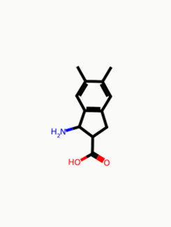 Cc1cc2c(cc1C)C(N)C(C(=O)O)C2